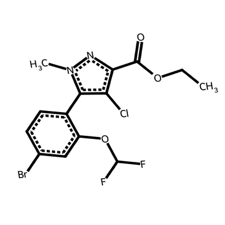 CCOC(=O)c1nn(C)c(-c2ccc(Br)cc2OC(F)F)c1Cl